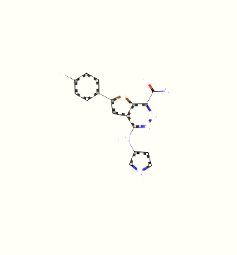 NC(=O)c1nnc(Nc2cc[nH]c2)c2cc(-c3ccc(Br)cc3)sc12